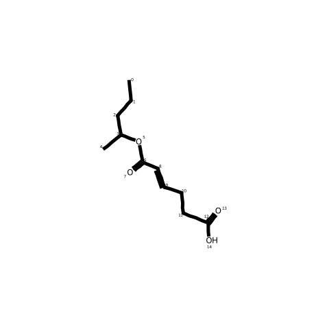 CCCC(C)OC(=O)C=CCCC(=O)O